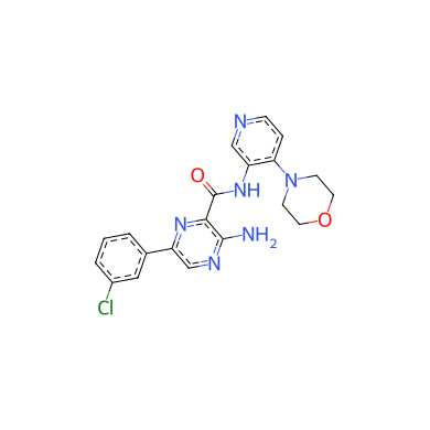 Nc1ncc(-c2cccc(Cl)c2)nc1C(=O)Nc1cnccc1N1CCOCC1